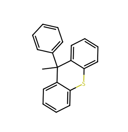 CC1(c2ccccc2)c2ccccc2Sc2ccccc21